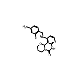 Nc1ccc(CNc2ccnc3c2C2OCCCN2C(=O)N3)c(F)c1